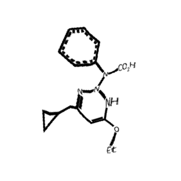 CCOC1=CC(C2CC2)=NN(N(C(=O)O)c2ccccc2)N1